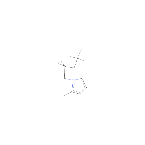 Cc1cccn1CC1(CC(C)(C)C)CC1